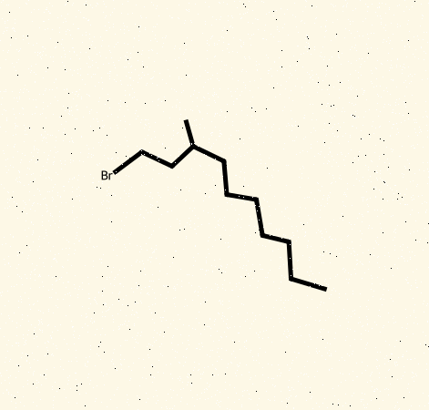 CCCCCCCC(C)CCBr